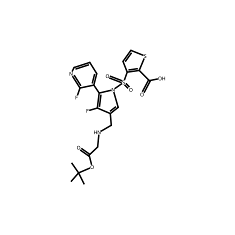 CC(C)(C)OC(=O)CNCc1cn(S(=O)(=O)c2ccsc2C(=O)O)c(-c2cccnc2F)c1F